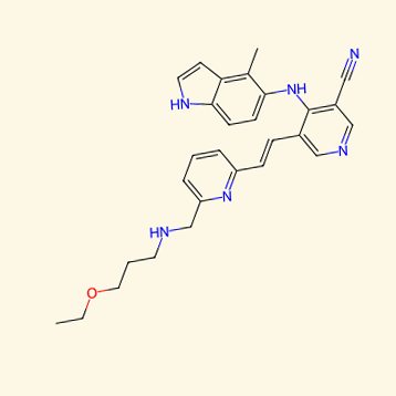 CCOCCCNCc1cccc(C=Cc2cncc(C#N)c2Nc2ccc3[nH]ccc3c2C)n1